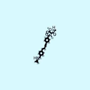 CNC(=O)C(C(=O)OC)N(C)C(=O)c1ccc(C#CC=Cc2ccc(CNC3CC3)cc2)cc1